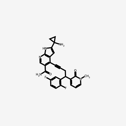 Cn1cccc(C(CC#Cc2c(C(N)=O)cnc3[nH]c(C4(N)CC4)cc23)c2cc(F)ccc2F)c1=O